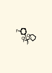 O=S(=O)(c1cccc(F)c1)C(F)(F)N1CCCCC1